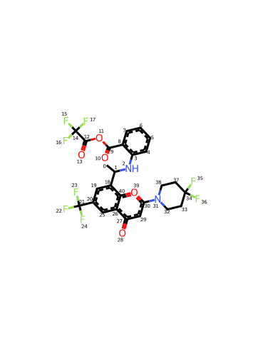 CC(Nc1ccccc1C(=O)OC(=O)C(F)(F)F)c1cc(C(F)(F)F)cc2c(=O)cc(N3CCC(F)(F)CC3)oc12